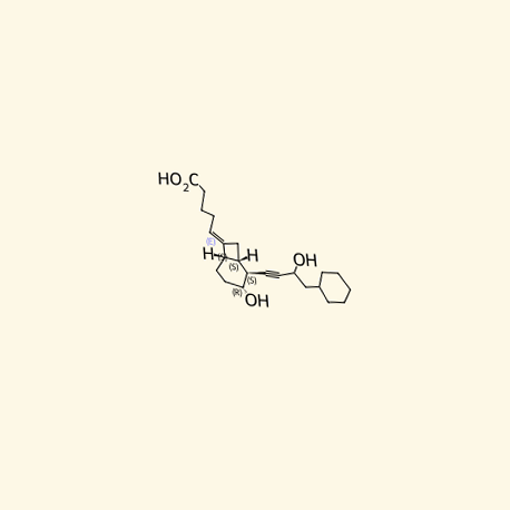 O=C(O)CCC/C=C1\C[C@@H]2[C@@H](C#CC(O)CC3CCCCC3)[C@H](O)CC[C@H]12